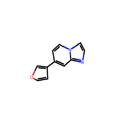 c1cn2ccc(-c3ccoc3)cc2n1